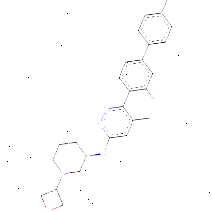 Cc1ccc(-c2ccc(-c3nnc(N[C@@H]4CCCN(C5COC5)C4)cc3C)c(O)c2)cc1